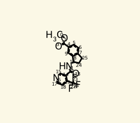 COC(=O)c1ccc2c(c1)C(NC(=O)c1cnccc1C(F)(F)F)CC2